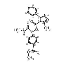 CNC(=O)C(OC(=O)c1c(-c2ccccc2)noc1C)c1ccc(C(=O)OC)cc1